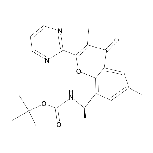 Cc1cc([C@@H](C)NC(=O)OC(C)(C)C)c2oc(-c3ncccn3)c(C)c(=O)c2c1